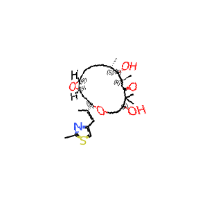 CC(=Cc1csc(C)n1)[C@@H]1C[C@@H]2O[C@@H]2CCC[C@H](C)[C@H](O)[C@@H](C)C(=O)C(C)(C)[C@@H](O)CCO1